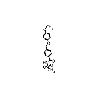 COc1ccc(OCc2ccc(C(=O)NS(C)(=O)=O)cc2)cc1